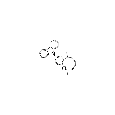 CC1/C=C\C=C/C(C)c2cc(-n3c4ccccc4c4ccccc43)ccc2O1